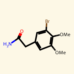 COc1cc(CC(N)=O)cc(Br)c1OC